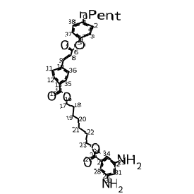 CCCCCc1ccc(OC(=O)C=Cc2ccc(C(=O)OCCCCCCCOC(=O)c3cc(N)cc(N)c3)cc2)cc1